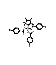 CC1=C(C)C(C)(C)[C]([Ti]([O]C(=O)c2ccc(F)cc2)([O]C(=O)c2ccc(F)cc2)[O]C(=O)c2ccc(F)cc2)=C1C